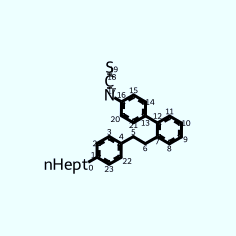 CCCCCCCc1ccc(CCc2ccccc2-c2ccc(N=C=S)cc2)cc1